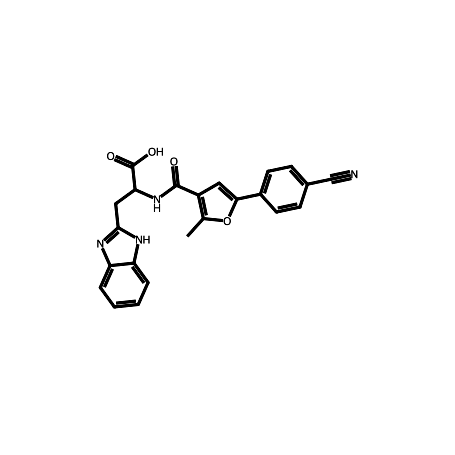 Cc1oc(-c2ccc(C#N)cc2)cc1C(=O)NC(Cc1nc2ccccc2[nH]1)C(=O)O